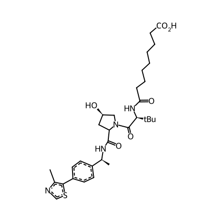 Cc1ncsc1-c1ccc([C@H](C)NC(=O)C2C[C@@H](O)CN2C(=O)[C@@H](NC(=O)CCCCCCCC(=O)O)C(C)(C)C)cc1